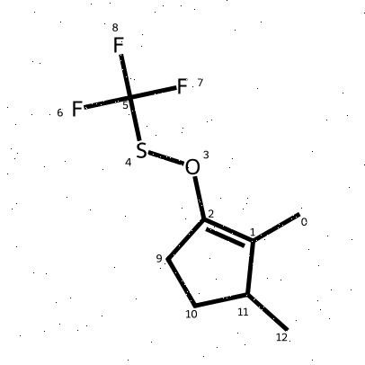 CC1=C(OSC(F)(F)F)CCC1C